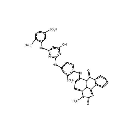 CN1C(=O)C=C2c3ccccc3C(=O)C3C(Nc4ccc(Nc5nc(O)nc(Nc6cc(S(=O)(=O)O)ccc6S(=O)(=O)O)n5)cc4S(=O)(=O)O)=CC=C1C23